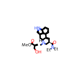 C=C(CO)C(=O)OC.CCN(CC)C(=O)[C@@H]1C=C2c3cccc4[nH]cc(c34)C[C@H]2N(C)C1